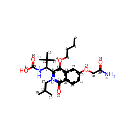 CCCCOc1c(C(NC(=O)O)C(C)(C)C)n(CC(C)C)c(=O)c2ccc(OCC(N)=O)cc12